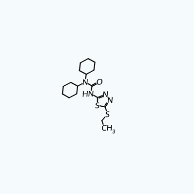 CCSc1nnc(NC(=O)N(C2CCCCC2)C2CCCCC2)s1